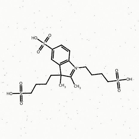 CC1=[N+](CCCCS(=O)(=O)O)c2ccc(S(=O)(=O)O)cc2C1(C)CCCCS(=O)(=O)O